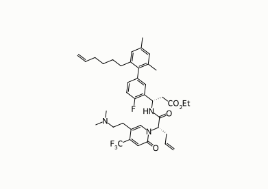 C=CCCCCc1cc(C)cc(C)c1-c1ccc(F)c([C@H](CC(=O)OCC)NC(=O)[C@H](CC=C)n2cc(CCN(C)C)c(C(F)(F)F)cc2=O)c1